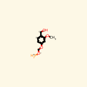 COc1cc(OCOP)ccc1CO